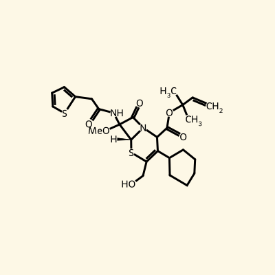 C=CC(C)(C)OC(=O)C1C(C2CCCCC2)=C(CO)S[C@H]2N1C(=O)C2(NC(=O)Cc1cccs1)OC